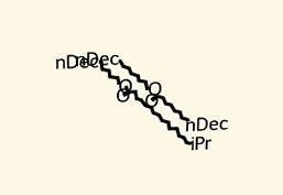 CCCCCCCCCCCCCCCCCCOC(=O)CCCCCCCCCCCCCCCCC.CCCCCCCCCCCCCCCCOC(=O)CCCCCCCCCCCCCCC(C)C